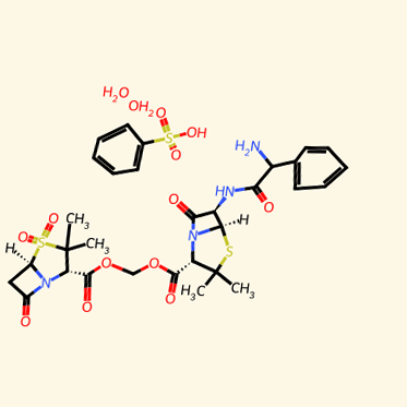 CC1(C)S[C@@H]2[C@H](NC(=O)C(N)c3ccccc3)C(=O)N2[C@H]1C(=O)OCOC(=O)[C@@H]1N2C(=O)C[C@H]2S(=O)(=O)C1(C)C.O.O.O=S(=O)(O)c1ccccc1